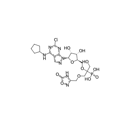 O=c1[nH]c(COCC(CO)(OC[C@H]2O[C@@H](n3ncc4c(NC5CCCC5)nc(Cl)nc43)[C@H](O)[C@@H]2O)P(=O)(O)O)no1